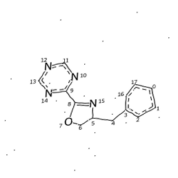 c1ccc(CC2COC(c3ncncn3)=N2)cc1